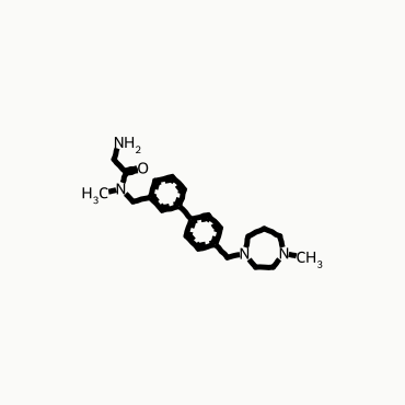 CN1CCCN(Cc2ccc(-c3cccc(CN(C)C(=O)CN)c3)cc2)CC1